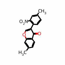 Cc1ccc(-c2coc3cc(C)ccc3c2=O)c([N+](=O)[O-])c1